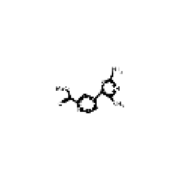 COC(=O)c1cc(-c2sc(N)nc2C)ccn1